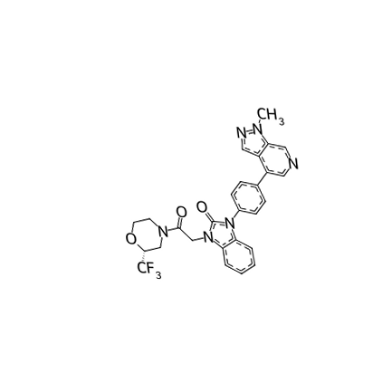 Cn1ncc2c(-c3ccc(-n4c(=O)n(CC(=O)N5CCO[C@@H](C(F)(F)F)C5)c5ccccc54)cc3)cncc21